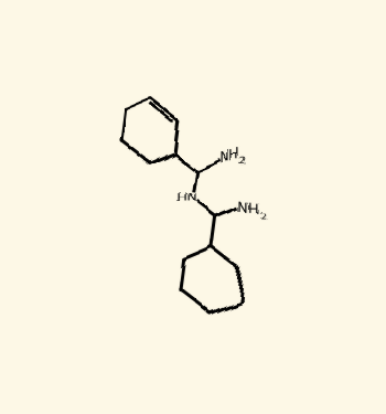 NC(NC(N)C1CCCCC1)C1C=CCCC1